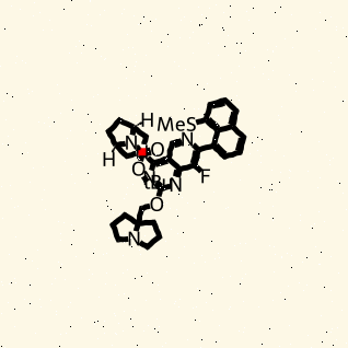 CSc1cccc2cccc(-c3ncc4c(N5C[C@H]6CC[C@@H](C5)N6C(=O)OC(C)(C)C)nc(OCC56CCCN5CCC6)nc4c3F)c12